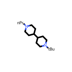 CCCN1CCC(C2CCN(C(C)(C)C)CC2)CC1